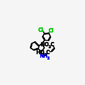 NC1CC(c2ccc(Cl)c(Cl)c2)c2ccccc21.O=C(O)/C=C\C(=O)O